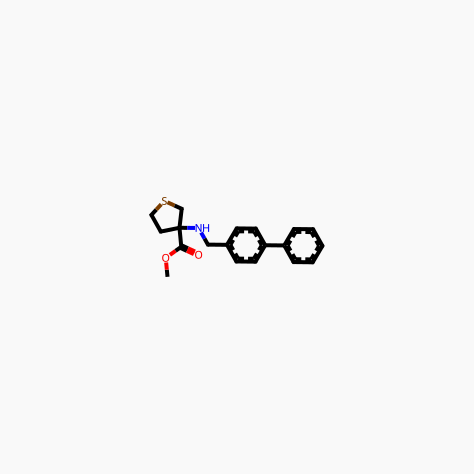 COC(=O)C1(NCc2ccc(-c3ccccc3)cc2)CCSC1